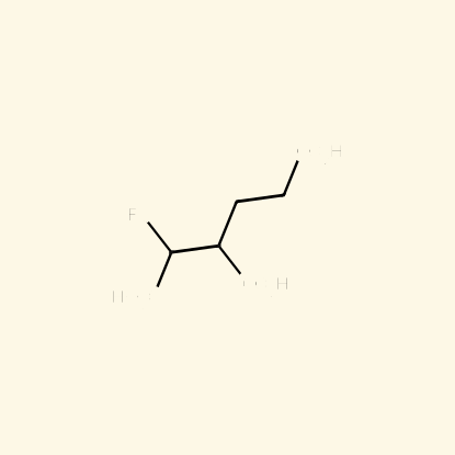 CCC(C(=O)O)C(CCC(=O)O)C(=O)O